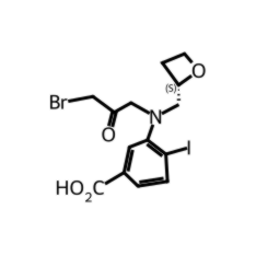 O=C(CBr)CN(C[C@@H]1CCO1)c1cc(C(=O)O)ccc1I